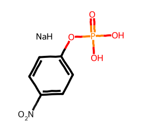 O=[N+]([O-])c1ccc(OP(=O)(O)O)cc1.[NaH]